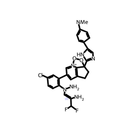 CNc1ccc(-c2cnc(C34CCc5cc(-c6cc(Cl)ccc6N(N)/C=C(\N)C(F)F)c[n+](c53)OO4)[nH]2)cc1